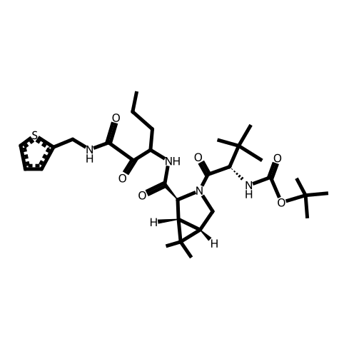 CCCC(NC(=O)[C@@H]1[C@@H]2[C@H](CN1C(=O)[C@@H](NC(=O)OC(C)(C)C)C(C)(C)C)C2(C)C)C(=O)C(=O)NCc1cccs1